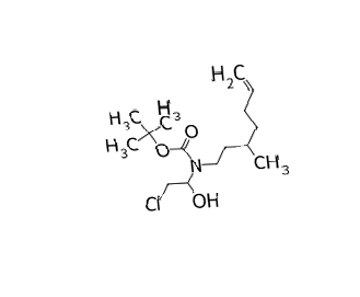 C=CCCC(C)CCN(C(=O)OC(C)(C)C)C(O)CCl